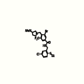 CCSc1ccc(Cl)cc1CNC(=O)c1cc(Br)c(CN2CCC(NC)C2)c(C(F)(F)F)c1